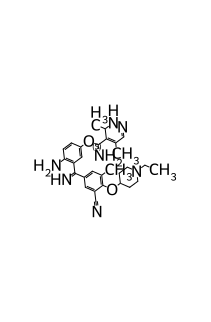 CCN1CCC(Oc2c(C)cc(C(=N)c3cc(O[C@H](N)C4=C(C)C=NNC4C)ccc3N)cc2C#N)CC1